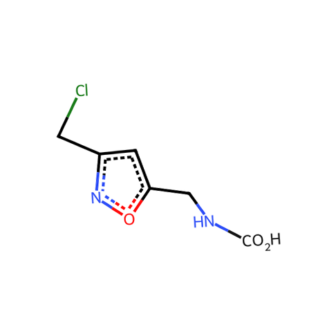 O=C(O)NCc1cc(CCl)no1